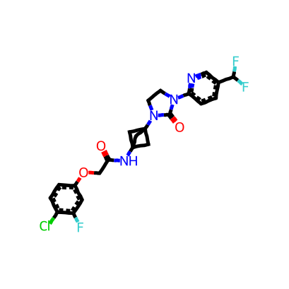 O=C(COc1ccc(Cl)c(F)c1)NC12CC(N3CCN(c4ccc(C(F)F)cn4)C3=O)(C1)C2